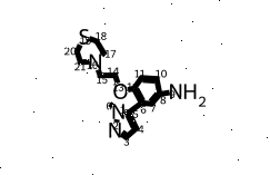 Cn1nccc1-c1cc(N)ccc1OCCN1CCSCC1